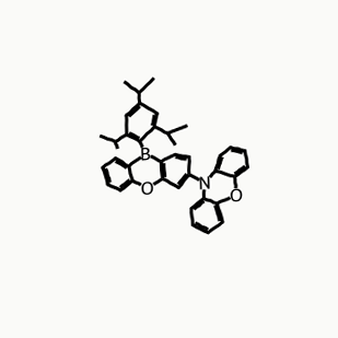 CC(C)c1cc(C(C)C)c(B2c3ccccc3Oc3cc(N4c5ccccc5Oc5ccccc54)ccc32)c(C(C)C)c1